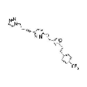 FC(F)(F)c1ccc(C=Cc2nc(COc3ccc(C#CCCn4ccnn4)nn3)co2)cc1